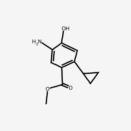 COC(=O)c1cc(N)c(O)cc1C1CC1